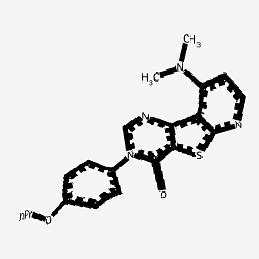 CCCOc1ccc(-n2cnc3c(sc4nccc(N(C)C)c43)c2=O)cc1